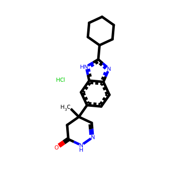 CC1(c2ccc3nc(C4CCCCC4)[nH]c3c2)C=NNC(=O)C1.Cl